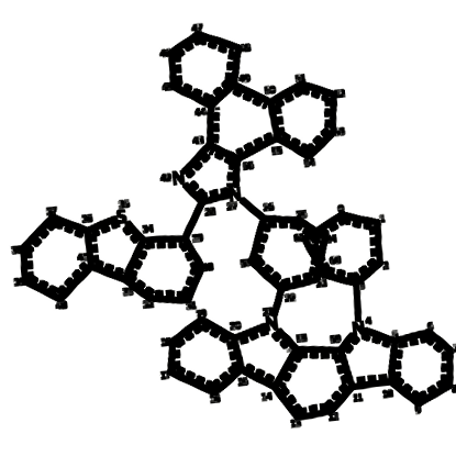 c1ccc(-n2c3ccccc3c3ccc4c5ccccc5n(-c5cccc(-n6c(-c7cccc8c7sc7ccccc78)nc7c8ccccc8c8ccccc8c76)c5)c4c32)cc1